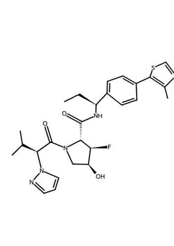 CC[C@H](NC(=O)[C@@H]1[C@@H](F)[C@@H](O)CN1C(=O)[C@H](C(C)C)n1cccn1)c1ccc(-c2scnc2C)cc1